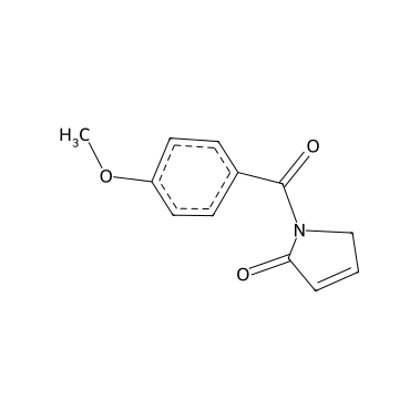 COc1ccc(C(=O)N2CC=CC2=O)cc1